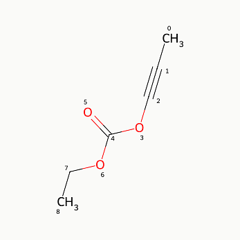 CC#COC(=O)OCC